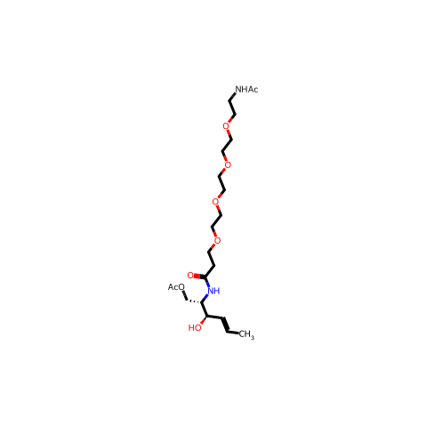 C/C=C/[C@@H](O)[C@H](COC(C)=O)NC(=O)CCOCCOCCOCCOCCNC(C)=O